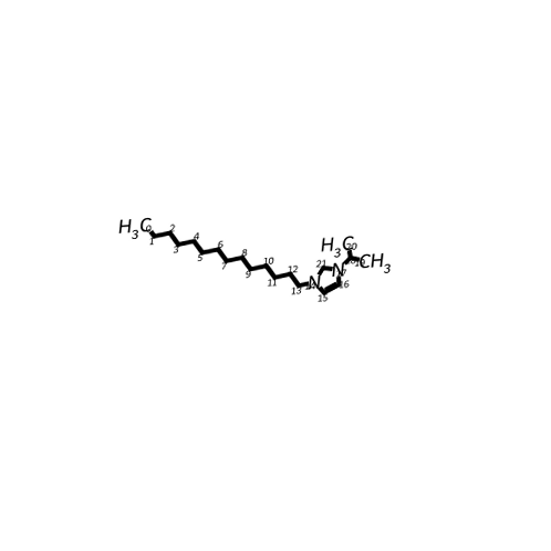 CCCCCCCCCCCCCCN1C=CN(C(C)C)C1